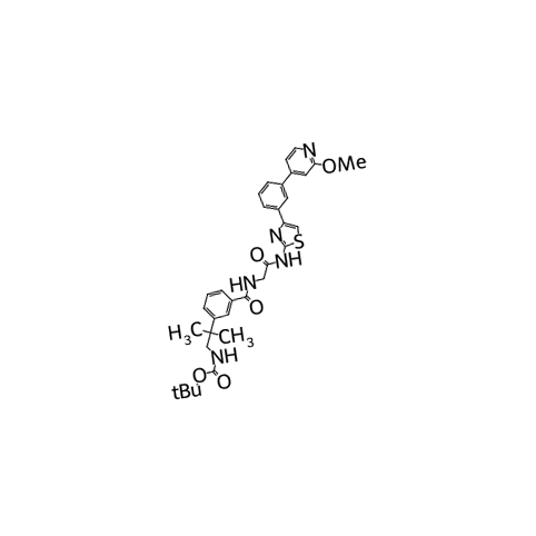 COc1cc(-c2cccc(-c3csc(NC(=O)CNC(=O)c4cccc(C(C)(C)CNC(=O)OC(C)(C)C)c4)n3)c2)ccn1